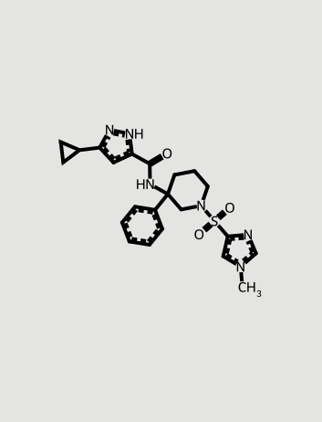 Cn1cnc(S(=O)(=O)N2CCCC(NC(=O)c3cc(C4CC4)n[nH]3)(c3ccccc3)C2)c1